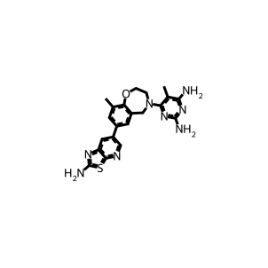 Cc1cc(-c2cnc3sc(N)nc3c2)cc2c1OCCN(c1nc(N)nc(N)c1C)C2